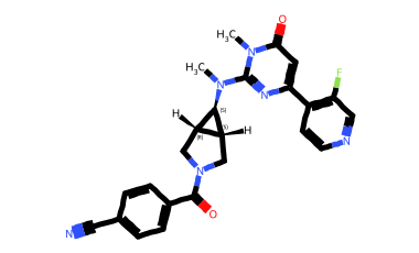 CN(c1nc(-c2ccncc2F)cc(=O)n1C)[C@H]1[C@@H]2CN(C(=O)c3ccc(C#N)cc3)C[C@@H]21